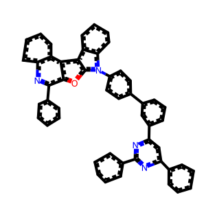 c1ccc(-c2cc(-c3cccc(-c4ccc(-n5c6ccccc6c6c7c(oc65)c(-c5ccccc5)nc5ccccc57)cc4)c3)nc(-c3ccccc3)n2)cc1